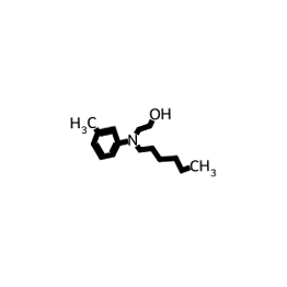 CCCCCCN(CCO)c1cccc(C)c1